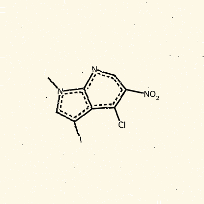 Cn1cc(I)c2c(Cl)c([N+](=O)[O-])cnc21